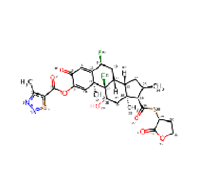 Cc1nnsc1C(=O)OC1=C[C@@]2(C)C(=CC1=O)[C@@H](F)C[C@@H]1[C@@H]3C[C@@H](C)[C@@H](C(=O)S[C@H]4CCOC4=O)[C@@]3(C)C[C@H](O)[C@@]12F